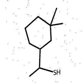 CC(S)C1CCCC(C)(C)C1